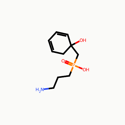 NCCCP(=O)(O)CC1(O)C=CC=CC1